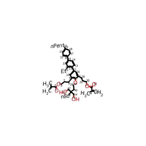 C=C(C)C(=O)OCCCc1cc(-c2ccc(-c3ccc(CCCCC)cc3)cc2CC)cc(CCCOC(=O)C(=C)C)c1OCCC(CO)(CO)CCCC